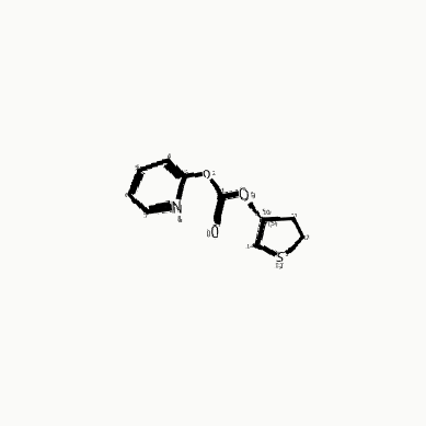 O=C(Oc1ccccn1)O[C@H]1CCSC1